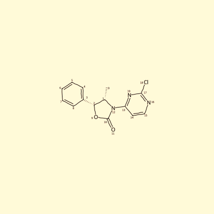 C[C@H]1[C@@H](c2ccccc2)OC(=O)N1c1ccnc(Cl)n1